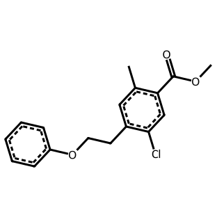 COC(=O)c1cc(Cl)c(CCOc2ccccc2)cc1C